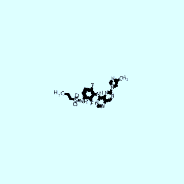 CCCS(=O)(=O)Nc1ccc(F)c(Nc2ncnc3cnc(-n4cnc(C)c4)nc23)c1F